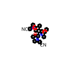 N#Cc1ccc2c(c1)c1ccccc1n2-c1ccc2c(c1)C(c1ccccc1-c1ccccc1)c1cc(-c3ccccc3)cc3c1C2c1c(cc(-n2c4ccccc4c4cc(C#N)ccc42)c2c1oc1ccccc12)N3c1ccccc1-c1ccccc1